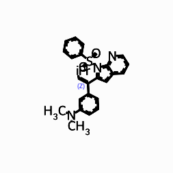 CC(C)/C=C(/c1cccc(N(C)C)c1)c1cc2cccnc2n1S(=O)(=O)c1ccccc1